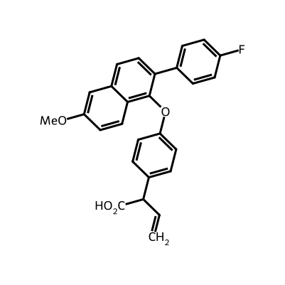 C=CC(C(=O)O)c1ccc(Oc2c(-c3ccc(F)cc3)ccc3cc(OC)ccc23)cc1